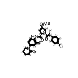 CO[C@@H]1C[C@H](C(=O)Nc2ccc(N3CCCCC3=O)cc2F)N(C(=O)Nc2ccc(Cl)cc2)C1